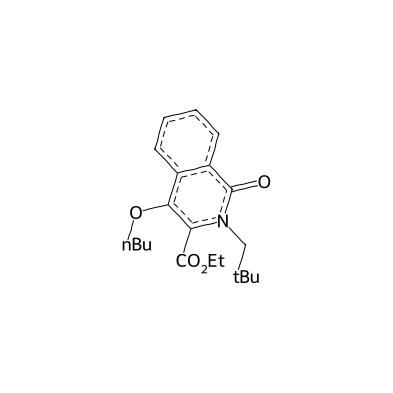 CCCCOc1c(C(=O)OCC)n(CC(C)(C)C)c(=O)c2ccccc12